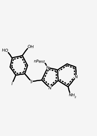 CCCCCn1c(Sc2cc(O)c(O)cc2I)nc2c(N)nccc21